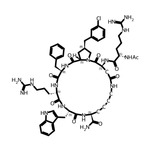 CC(=O)N[C@@H](CCCNC(=N)N)C(=O)N[C@H]1CC(=O)NCCCC[C@@H](C(N)=O)NC(=O)[C@H](Cc2c[nH]c3ccccc23)NC(=O)[C@H](CCCNC(=N)N)NC(=O)[C@@H](Cc2ccccc2)NC(=O)[C@@H]2C[C@@H](Cc3cccc(Cl)c3)CN2C1=O